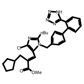 CCCCc1nc(Cl)c(C=C(CC2CCCC2)C(=O)OC)n1Cc1ccc(-c2ccccc2-c2nnn[nH]2)cc1